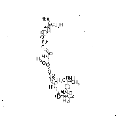 Cc1n[nH]c(C)c1-c1ccc(NC(=O)[C@@H](NC(=O)c2ccnn2CCCNC(=O)Cn2cc(COCCOCC(CNC(=O)N3CC(Oc4cccc(Oc5ccc(C(=O)N[C@@H](CCC(C)(C)C)C(=O)O)cn5)c4)C3)C(N)=O)nn2)C(C2CC2)C2CC2)cc1